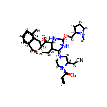 C=CC(=O)N1CCN(C2NC(OCC3CCCN3C)NC3C(=O)[C@]4(CCC32)Cc2c(C)cccc2CS4)CC1CC#N